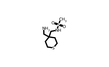 CS(=O)(=O)NCC1(CN)CCSCC1